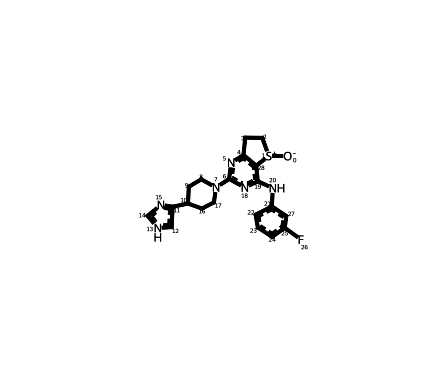 [O-][S+]1CCc2nc(N3CCC(c4c[nH]cn4)CC3)nc(Nc3cccc(F)c3)c21